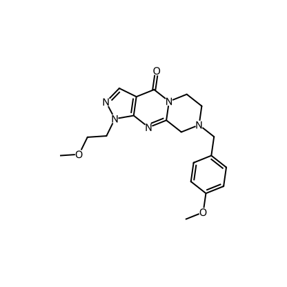 COCCn1ncc2c(=O)n3c(nc21)CN(Cc1ccc(OC)cc1)CC3